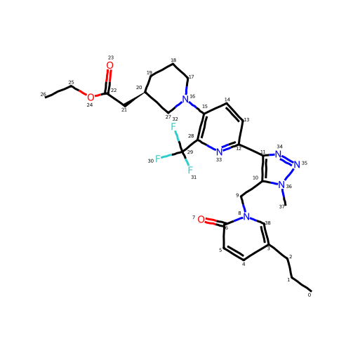 CCCc1ccc(=O)n(Cc2c(-c3ccc(N4CCC[C@H](CC(=O)OCC)C4)c(C(F)(F)F)n3)nnn2C)c1